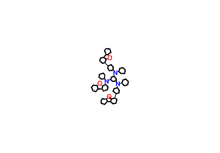 c1ccc(N(c2ccc(-c3cccc4c3oc3ccccc34)cc2)c2cc(N(c3ccccc3)c3ccc(-c4cccc5c4oc4ccccc45)cc3)cc(N(c3ccccc3)c3cccc4c3oc3ccccc34)c2)cc1